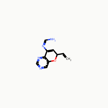 C=CC1C=C(/N=C\N)c2ncncc2O1